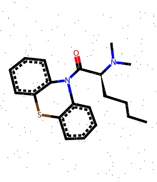 CCCC[C@@H](C(=O)N1c2ccccc2Sc2ccccc21)N(C)C